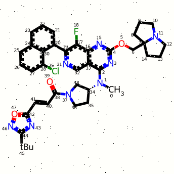 CN(c1nc(OCC23CCCN2CCC3)nc2c(F)c(-c3cccc4cccc(Cl)c34)ncc12)[C@@H]1CCN(C(=O)/C=C/c2nc(C(C)(C)C)no2)C1